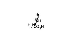 Cc1ccc(CCCC(=S)NCCCCC(N)C(=O)O)cc1